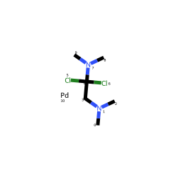 CN(C)CC(Cl)(Cl)N(C)C.[Pd]